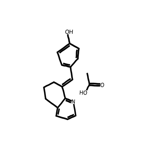 CC(=O)O.Oc1ccc(/C=C2\CCCc3cccnc32)cc1